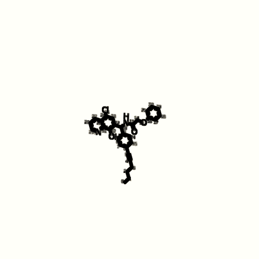 CCCCC#Cc1ccc(C(NC(=O)COc2ccccc2)c2cc(Cl)c3cccnc3c2O)cc1